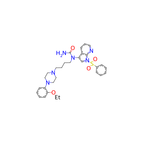 CCOc1ccccc1N1CCN(CCCCN(C(N)=O)c2cn(S(=O)(=O)c3ccccc3)c3ncccc23)CC1